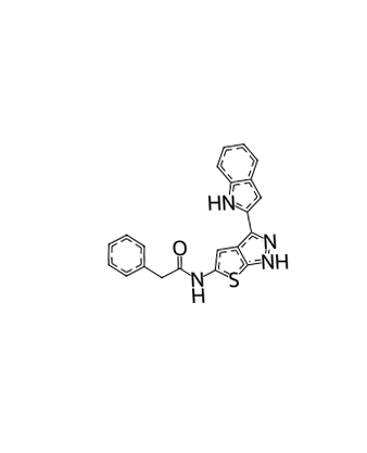 O=C(Cc1ccccc1)Nc1cc2c(-c3cc4ccccc4[nH]3)n[nH]c2s1